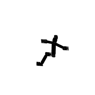 O=S(=O)(O)O.[OH][Mn]